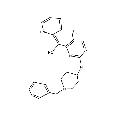 Cc1cnc(NC2CCN(Cc3ccccc3)CC2)nc1C(C#N)=C1C=CC=CN1